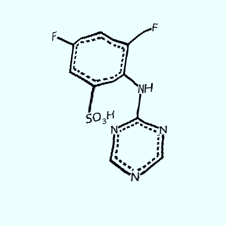 O=S(=O)(O)c1cc(F)cc(F)c1Nc1ncncn1